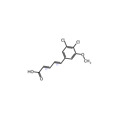 COc1cc(/C=C/C=C/C(=O)O)cc(Cl)c1Cl